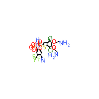 N#Cc1ccc(C(NS(=O)(=O)c2cc3c(Cl)c(OCCN)c(OCCN)c(Cl)c3s2)P(=O)(O)O)cc1C(F)(F)F